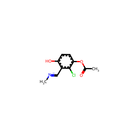 C/N=C/c1c(O)ccc(OC(C)=O)c1Cl